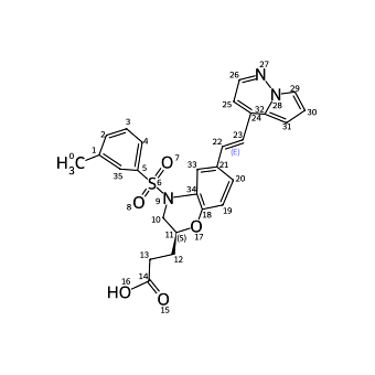 Cc1cccc(S(=O)(=O)N2C[C@H](CCC(=O)O)Oc3ccc(/C=C/c4ccnn5cccc45)cc32)c1